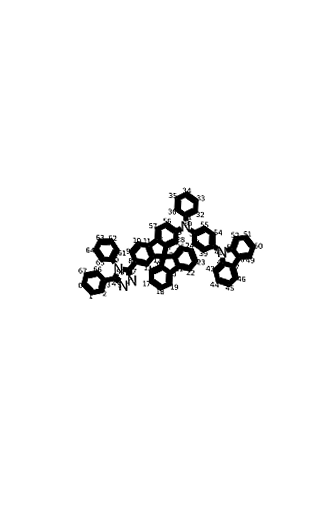 c1ccc(-c2nnc(-c3ccc4c(c3)C3(c5ccccc5-c5ccccc53)c3cc(N(c5ccccc5)c5ccc(-n6c7ccccc7c7ccccc76)cc5)ccc3-4)n2-c2ccccc2)cc1